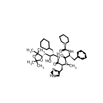 CN(C(=O)[C@H](Cc1ccccc1)NC(=O)N1CCCCC1)[C@@H](Cc1c[nH]cn1)C(=O)N[C@@H](CC1CCCCC1)[C@@H](O)C[C@@H]1OC(C)(C)OC1(C)C